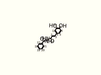 O=C(C=Cc1ccc(O)c(O)c1)NNC(=O)c1ccccc1